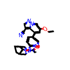 CCOc1cc(-c2ccc(NC3C4CCC3CN(C(C)=O)C4)nc2)c2c(C#N)cnn2c1